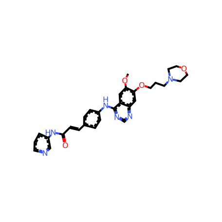 COc1cc2c(Nc3ccc(C=CC(=O)Nc4cccnc4)cc3)ncnc2cc1OCCCN1CCOCC1